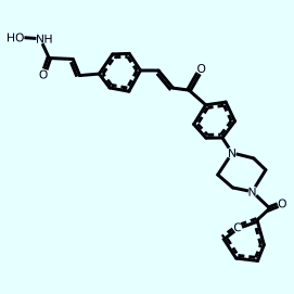 O=C(C=Cc1ccc(C=CC(=O)c2ccc(N3CCN(C(=O)c4ccccc4)CC3)cc2)cc1)NO